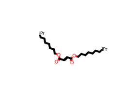 CC(C)CCCCCCCOC(=O)C=CC(=O)OCCCCCCCC(C)C